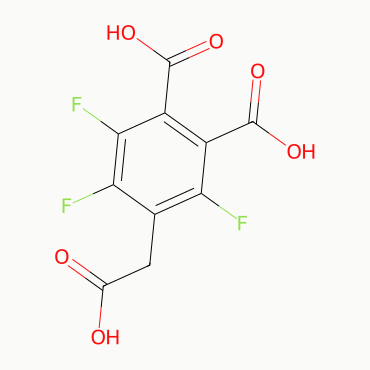 O=C(O)Cc1c(F)c(F)c(C(=O)O)c(C(=O)O)c1F